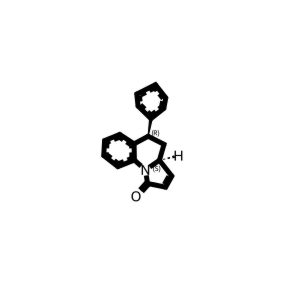 O=C1C=C[C@@H]2C[C@H](c3ccccc3)c3ccccc3N12